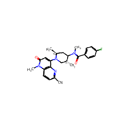 C[C@@H]1CN(c2cc(=O)n(C)c3ccc(C#N)nc23)[C@@H](C)CC1N(C)C(=O)c1ccc(F)cc1